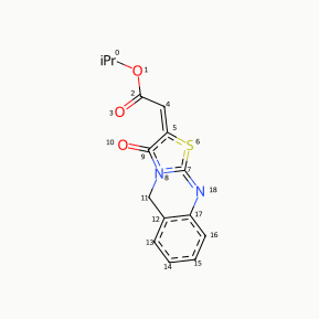 CC(C)OC(=O)/C=c1/sc2n(c1=O)Cc1ccccc1N=2